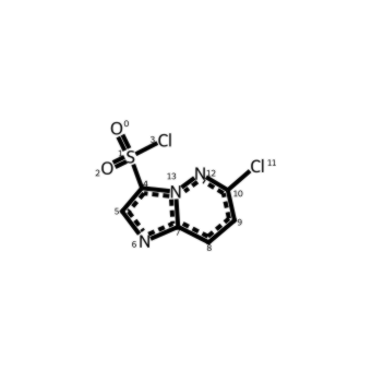 O=S(=O)(Cl)c1cnc2ccc(Cl)nn12